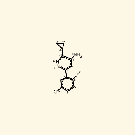 Nc1cc(-c2cc(Cl)ccc2F)nnc1C1CC1